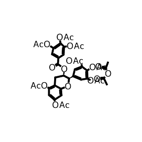 CC(=O)OC(C)=O.CC(=O)Oc1cc(OC(C)=O)c2c(c1)O[C@H](c1cc(OC(C)=O)c(OC(C)=O)c(OC(C)=O)c1)[C@H](OC(=O)c1cc(OC(C)=O)c(OC(C)=O)c(OC(C)=O)c1)C2